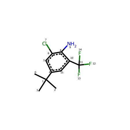 CC(C)(C)c1cc(Cl)c(N)c(C(F)(F)F)c1